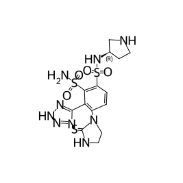 NS(=O)(=O)c1c(S(=O)(=O)N[C@@H]2CCNC2)ccc(N2CCNC2=S)c1-c1nn[nH]n1